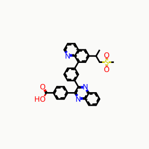 CC(CS(C)(=O)=O)c1cc(-c2cccc(-c3nc4ccccc4nc3-c3ccc(C(=O)O)cc3)c2)c2ncccc2c1